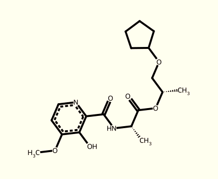 COc1ccnc(C(=O)N[C@@H](C)C(=O)O[C@@H](C)COC2CCCC2)c1O